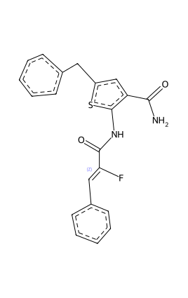 NC(=O)c1cc(Cc2ccccc2)sc1NC(=O)/C(F)=C/c1ccccc1